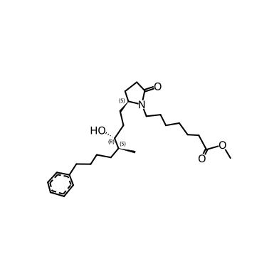 COC(=O)CCCCCCN1C(=O)CC[C@@H]1CC[C@@H](O)[C@@H](C)CCCCc1ccccc1